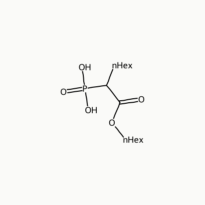 CCCCCCOC(=O)C(CCCCCC)P(=O)(O)O